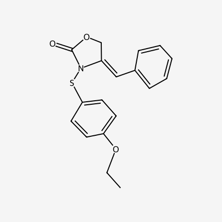 CCOc1ccc(SN2C(=O)OCC2=Cc2ccccc2)cc1